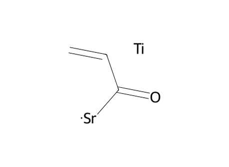 C=C[C](=O)[Sr].[Ti]